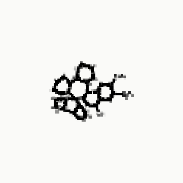 COc1cc2c(O)cc3c(c2cc1OC)-c1ccccc1-c1ccccc1C31c2ccccc2-c2ccccc21